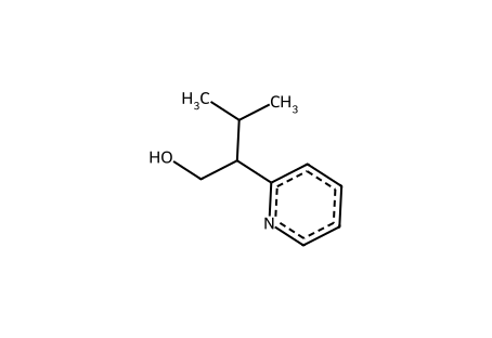 CC(C)C(CO)c1ccccn1